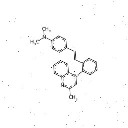 Cc1c[n+](-c2ccccc2C=Cc2ccc(N(C)C)cc2)c2ccccc2n1